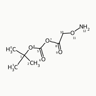 CC(C)(C)OC(=O)OC(=O)CON